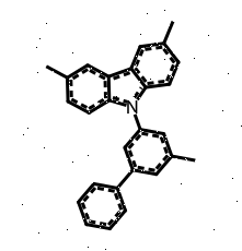 Cc1cc(-c2ccccc2)cc(-n2c3ccc(C)cc3c3cc(C)ccc32)c1